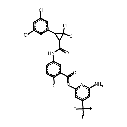 Nc1cc(C(F)(F)F)cc(NC(=O)c2cc(NC(=O)C3C(c4cc(Cl)cc(Cl)c4)C3(Cl)Cl)ccc2Cl)n1